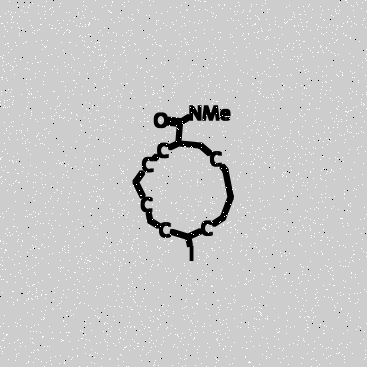 CNC(=O)C1CCCCCCC(I)CCCCCC1